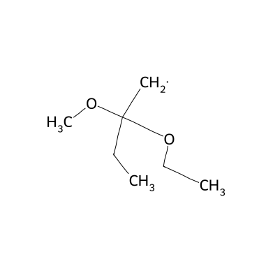 [CH2]C(CC)(OC)OCC